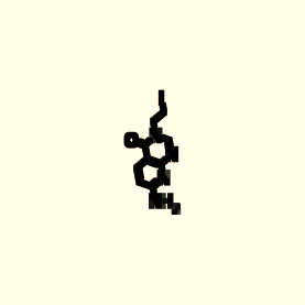 Nc1ccc2c(=O)n(CCI)cnc2n1